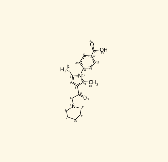 Cc1cc(C(=O)CN2CCCCC2)c(C)n1-c1ccc(C(=O)O)cc1